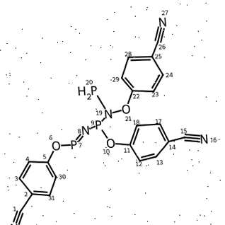 N#Cc1ccc(OP=NP(Oc2ccc(C#N)cc2)N(P)Oc2ccc(C#N)cc2)cc1